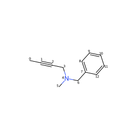 CC#CCN(C)Cc1ccccc1